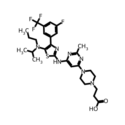 CCCN(c1sc(Nc2cc(N3CCN(CCC(=O)O)CC3)nc(C)n2)nc1-c1cc(F)cc(C(F)(F)F)c1)C(C)C